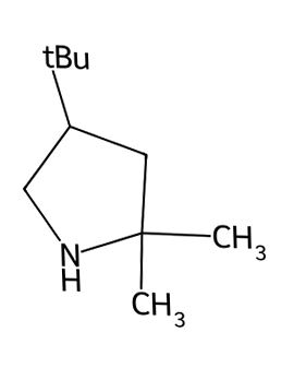 CC1(C)CC(C(C)(C)C)CN1